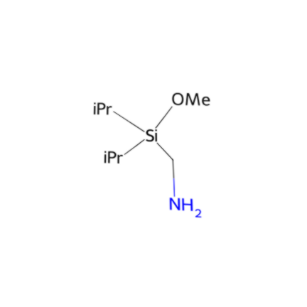 CO[Si](CN)(C(C)C)C(C)C